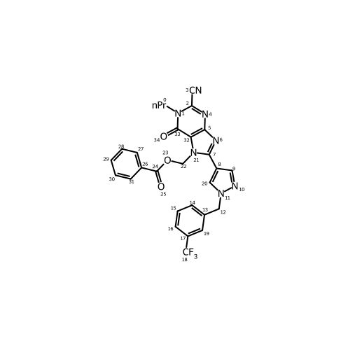 CCCn1c(C#N)nc2nc(-c3cnn(Cc4cccc(C(F)(F)F)c4)c3)n(COC(=O)c3ccccc3)c2c1=O